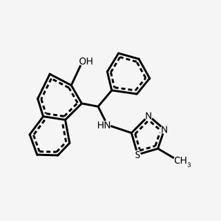 Cc1nnc(NC(c2ccccc2)c2c(O)ccc3ccccc23)s1